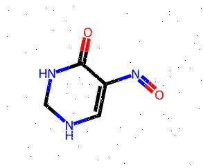 O=NC1=CNCNC1=O